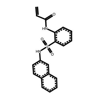 C=CC(=O)Nc1ccccc1S(=O)(=O)Nc1ccc2ccccc2c1